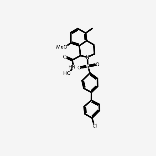 COc1ccc(C)c2c1C(C(=O)NO)N(S(=O)(=O)c1ccc(-c3ccc(Cl)cc3)cc1)CC2